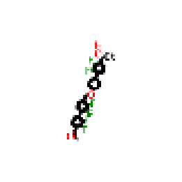 CCC(O)c1ccc(C2=CCC(OCc3ccc(-c4ccc(C5CO5)c(F)c4F)c(F)c3F)CC2)c(F)c1F